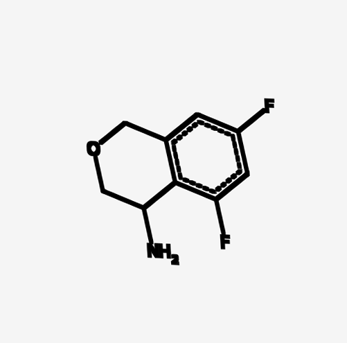 NC1COCc2cc(F)cc(F)c21